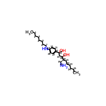 CCCCCCCCNc1ccc(C(O)CC(O)[C@H](CN)CCCCCC)cc1